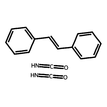 C(=Cc1ccccc1)c1ccccc1.N=C=O.N=C=O